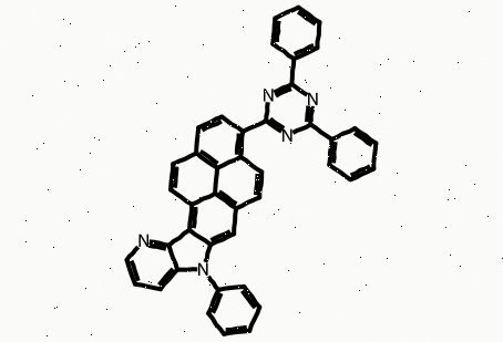 c1ccc(-c2nc(-c3ccccc3)nc(-c3ccc4ccc5c6c(ccc3c46)cc3c5c4ncccc4n3-c3ccccc3)n2)cc1